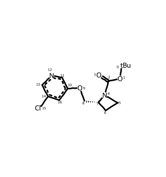 CC(C)(C)OC(=O)N1CC[C@@H]1COc1cncc(Cl)c1